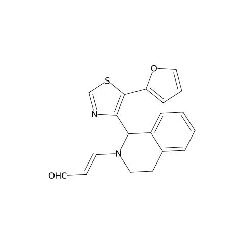 O=CC=CN1CCc2ccccc2C1c1ncsc1-c1ccco1